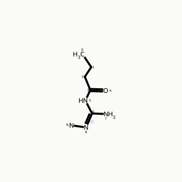 CCCC(=O)N/C(N)=N\[N]